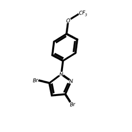 FC(F)(F)Oc1ccc(-n2nc(Br)cc2Br)cc1